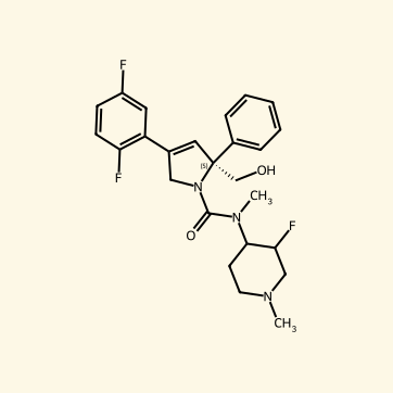 CN1CCC(N(C)C(=O)N2CC(c3cc(F)ccc3F)=C[C@@]2(CO)c2ccccc2)C(F)C1